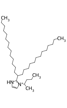 CCCCCCCCCCCCCCC(CCCCCCCCCCCCC)c1[nH]cc[n+]1C(C)CCC